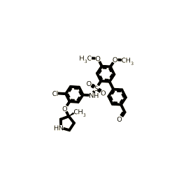 COc1cc(-c2ccc(C=O)cc2)c(S(=O)(=O)Nc2ccc(Cl)c(O[C@]3(C)CCNC3)c2)cc1OC